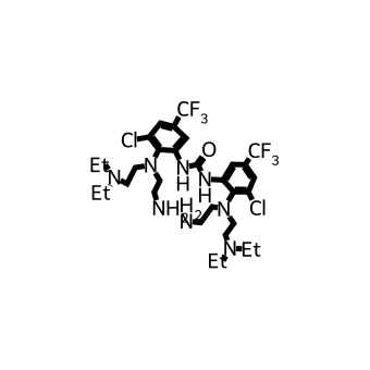 CCN(CC)CCN(CCN)c1c(Cl)cc(C(F)(F)F)cc1NC(=O)Nc1cc(C(F)(F)F)cc(Cl)c1N(CCN)CCN(CC)CC